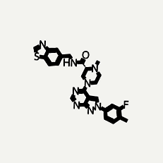 Cc1ccc(-n2cc3c(N4CCN(C)[C@@H](C(=O)NCc5ccc6scnc6c5)C4)ncnc3n2)cc1F